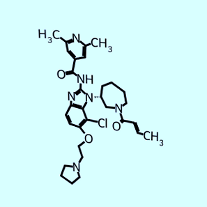 C/C=C/C(=O)N1CCCC[C@@H](n2c(NC(=O)c3cc(C)nc(C)c3)nc3ccc(OCCN4CCCC4)c(Cl)c32)C1